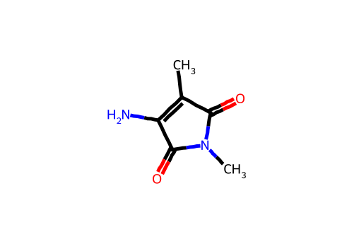 CC1=C(N)C(=O)N(C)C1=O